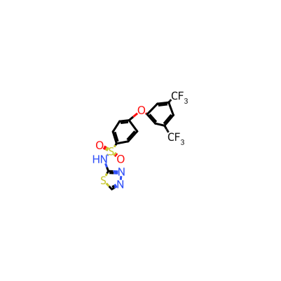 O=S(=O)(Nc1nncs1)c1ccc(Oc2cc(C(F)(F)F)cc(C(F)(F)F)c2)cc1